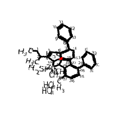 CCC(C)C1=Cc2c(-c3ccccc3)cccc2[CH]1[Zr]([CH3])([CH3])(=[SiH2])[CH]1C(C)=Cc2c(-c3ccccc3)ccc(C)c21.Cl.Cl